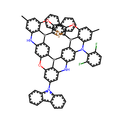 Cc1cc2c3c(c1)Oc1c(sc4ccccc14)B3c1cc3c(cc1N2)Oc1cc(-n2c4ccccc4c4ccccc42)cc2c1B3c1cc3c(cc1N2)N(c1c(F)cccc1F)c1cc(C)cc2c1B3c1sc3ccccc3c1O2